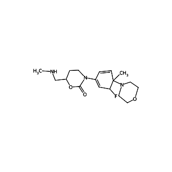 CNCC1CCN(C2=CC(F)C(C)(N3CCOCC3)C=C2)C(=O)O1